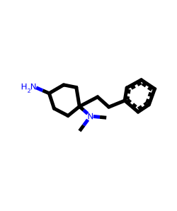 CN(C)C1(CCc2ccccc2)CCC(N)CC1